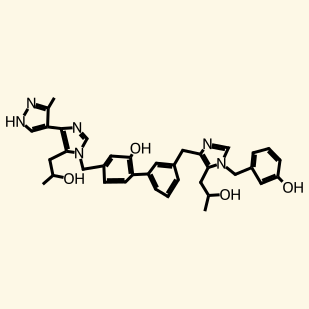 Cc1n[nH]cc1-c1ncn(Cc2ccc(-c3cccc(Cc4ncn(Cc5cccc(O)c5)c4CC(C)O)c3)c(O)c2)c1CC(C)O